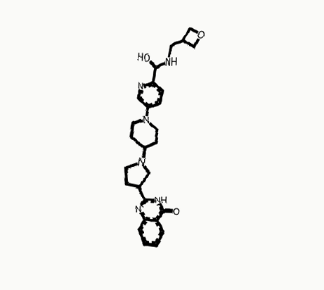 O=c1[nH]c(C2CCN(C3CCN(c4ccc(C(O)NCC5COC5)nc4)CC3)C2)nc2ccccc12